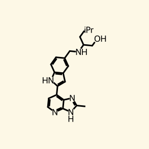 Cc1nc2c(-c3cc4cc(CNC(CO)CC(C)C)ccc4[nH]3)ccnc2[nH]1